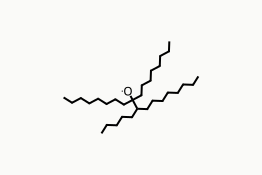 CCCCCCCCC(CCCCC)C([O])(CCCCCCCC)CCCCCCCC